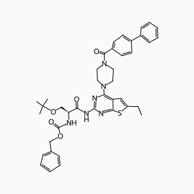 CCc1cc2c(N3CCN(C(=O)c4ccc(-c5ccccc5)cc4)CC3)nc(NC(=O)[C@H](COC(C)(C)C)NC(=O)OCc3ccccc3)nc2s1